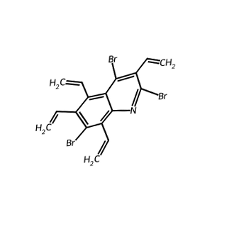 C=Cc1c(Br)nc2c(C=C)c(Br)c(C=C)c(C=C)c2c1Br